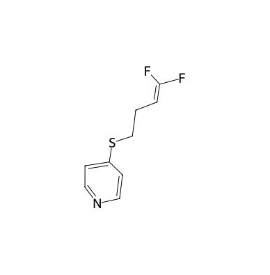 FC(F)=CCCSc1ccncc1